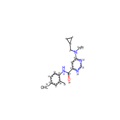 CCCN(CC1CC1)c1cc(C(=O)Nc2ccc(C=O)cc2C)ncn1